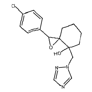 OC1(Cn2cncn2)CCCCC12OC2c1ccc(Cl)cc1